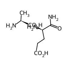 C[C@H](N)C(=O)O.NC(=O)[C@H](N)CCC(=O)O